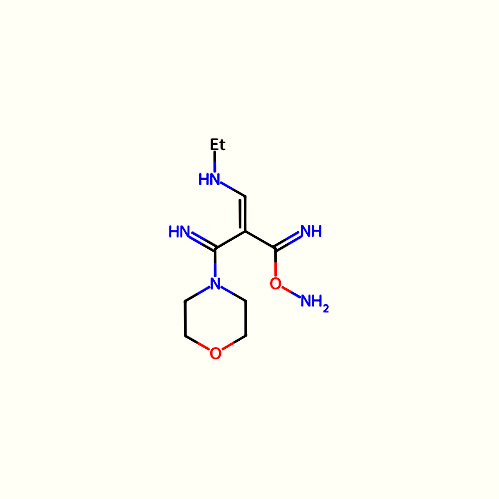 CCN/C=C(/C(=N)ON)C(=N)N1CCOCC1